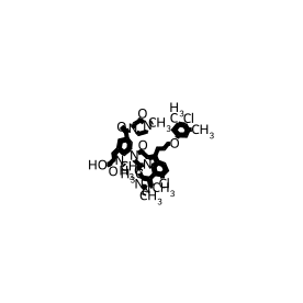 Cc1cc(OCCCc2c3n(c4c(-c5c(C)nn(C)c5C)c(Cl)ccc24)C(C)CN(c2cc(C(=O)N4CCN(C)C(=O)C4)cc4cc(C(=O)O)n(C)c24)C3=O)cc(C)c1Cl